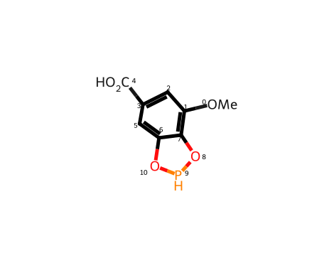 COc1cc(C(=O)O)cc2c1OPO2